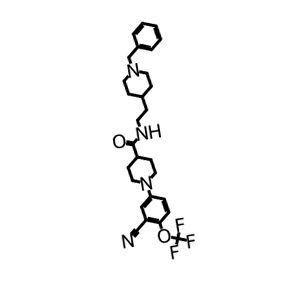 N#Cc1cc(N2CCC(C(=O)NCCC3CCN(Cc4ccccc4)CC3)CC2)ccc1OC(F)(F)F